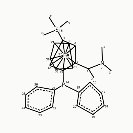 CC(N(C)C)[C]12[CH]3[C]4([Si](C)(C)C)[CH]5[C]1(P(c1ccccc1)c1ccccc1)[Fe]35241678[CH]2[CH]1[CH]6[CH]7[CH]28